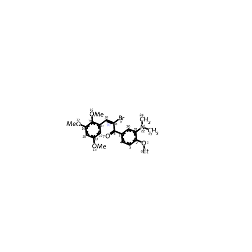 CCOc1ccc(C(=O)/C(Br)=C\c2cc(OC)cc(OC)c2OC)cc1N(C)C